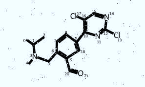 CC(C)N(C)Cc1ccc(-c2nc(Cl)ncc2Cl)cc1C=O